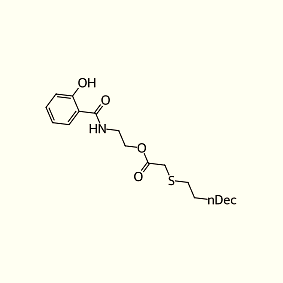 CCCCCCCCCCCCSCC(=O)OCCNC(=O)c1ccccc1O